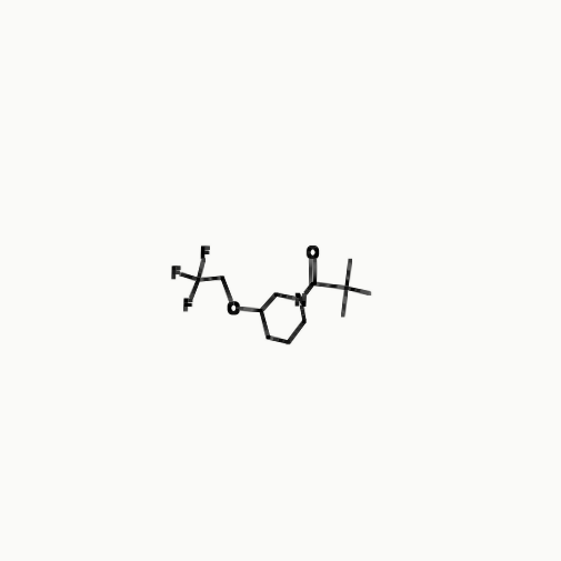 CC(C)(C)C(=O)N1CCCC(OCC(F)(F)F)C1